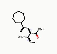 C=C(/C=C(C(=O)OC)\C(C=O)=C/C)C1CCCCCC1